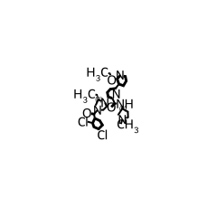 CCOc1ncccc1-c1ccc(N2CCN(C(=O)c3ccc(Cl)cc3Cl)C[C@H]2CC)c(C(=O)N[C@@H]2CCN(C)C2)n1